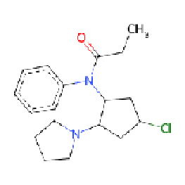 CCC(=O)N(c1ccccc1)C1CC(Cl)CC1N1CCCC1